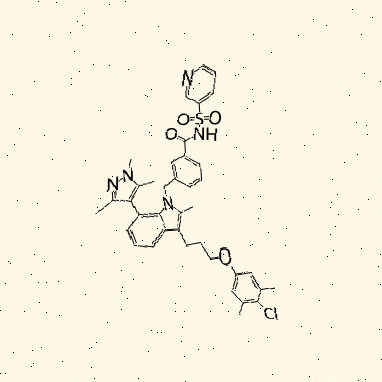 Cc1cc(OCCCc2c(C)n(Cc3cccc(C(=O)NS(=O)(=O)c4cccnc4)c3)c3c(-c4c(C)nn(C)c4C)cccc23)cc(C)c1Cl